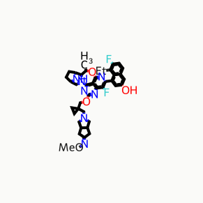 CCc1c(F)ccc2cc(O)cc(-c3nc4c5c(nc(OCC6(CN7CC8CC(=NOC)CC8C7)CC6)nc5c3F)N3CC5CCC(N5)C3C(C)O4)c12